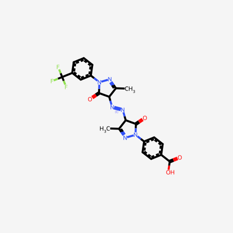 CC1=NN(c2ccc(C(=O)O)cc2)C(=O)C1/N=N/C1C(=O)N(c2cccc(C(F)(F)F)c2)N=C1C